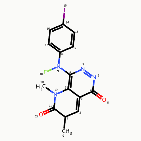 CC1C=C2C(=O)N=NC(N(F)c3ccc(I)cc3)=C2N(C)C1=O